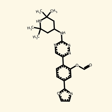 CC1(C)CC(Nc2ncc(-c3ccc(-c4ncco4)cc3OC=O)nn2)CC(C)(C)N1